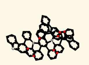 c1ccc(-c2cccc3c2-c2c(c(N(c4ccccc4)c4ccccc4-c4cccc5oc6ccccc6c45)c(-c4ccccc4)c(-c4ccccc4)c2N(c2ccccc2-c2cccc4sc5ccccc5c24)c2c4c(cc(-c5ccccc5)c2-c2ccccc2)-c2ccccc2C4)C3)cc1